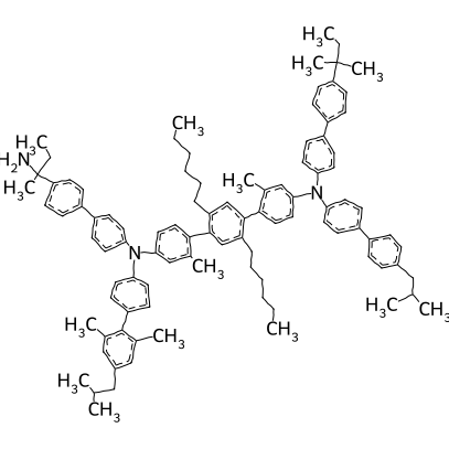 CCCCCCc1cc(-c2ccc(N(c3ccc(-c4ccc(C(C)(N)CC)cc4)cc3)c3ccc(-c4c(C)cc(CC(C)C)cc4C)cc3)cc2C)c(CCCCCC)cc1-c1ccc(N(c2ccc(-c3ccc(CC(C)C)cc3)cc2)c2ccc(-c3ccc(C(C)(C)CC)cc3)cc2)cc1C